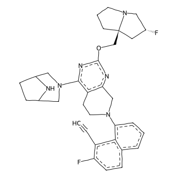 C#Cc1c(F)ccc2cccc(N3CCc4c(nc(OC[C@@]56CCCN5C[C@H](F)C6)nc4N4CC5CCC(C4)N5)C3)c12